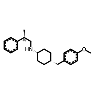 COc1ccc(C[C@H]2CC[C@@H](NC[C@H](C)c3ccccc3)CC2)cc1